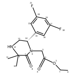 CCOC(=O)CN1C(=O)C(C)(C)NC[C@@H]1c1cc(F)cc(F)c1